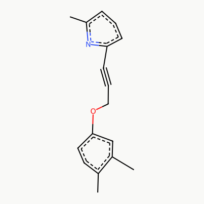 Cc1cccc(C#CCOc2ccc(C)c(C)c2)n1